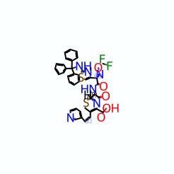 O=C(O)C1=C(/C=C\c2cccnc2)CS[C@@H]2[C@H](NC(=O)/C(=N/OC(F)F)c3csc(NC(c4ccccc4)(c4ccccc4)c4ccccc4)n3)C(=O)N12